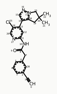 C#Cc1cccc(CC(=O)Nc2cc(-c3cnn4c3CC(C)(C)C4)c(Cl)cn2)c1